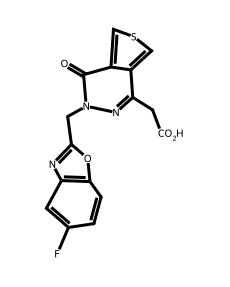 O=C(O)Cc1nn(Cc2nc3cc(F)ccc3o2)c(=O)c2cscc12